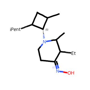 CCCC(C)C1CC(C)[C@@H]1N1CC/C(=N/O)C(CC)C1C